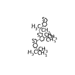 CC(C)(C)c1ccc2scc(-c3ccc(C(C)(C)C)c4cc(CC(C)(C)c5ccc6ccsc6c5)sc34)c2c1